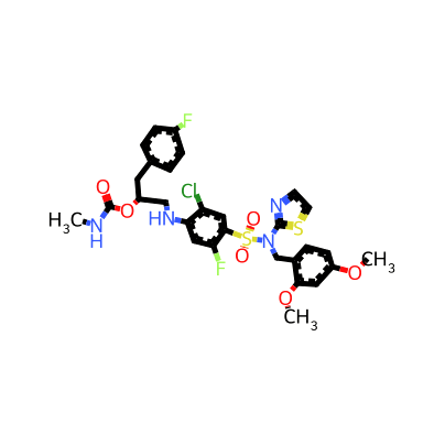 CNC(=O)OC(CNc1cc(F)c(S(=O)(=O)N(Cc2ccc(OC)cc2OC)c2nccs2)cc1Cl)Cc1ccc(F)cc1